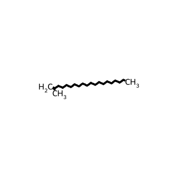 C=C(C)CCCCCCCCCCCCCCCCCC